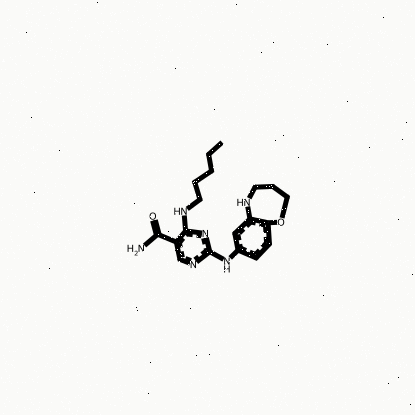 CCCCCNc1nc(Nc2ccc3c(c2)NCCCO3)ncc1C(N)=O